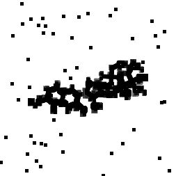 CCC(C)(C[C@H]1O[C@@H](c2cc3ncc(C)[nH]c-3nc2=O)[C@@H](O)C1O)OP(=O)(O)C(C)(O)CC